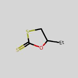 CCC1CSC(=S)O1